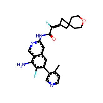 Cc1ccncc1-c1cc2cc(NC(=O)C(F)=C3CC4(CCOCC4)C3)ncc2c(N)c1F